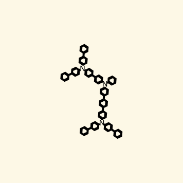 c1ccc(-c2ccc(N(c3ccc(-c4ccccc4)cc3)c3ccc(-c4ccc(-c5ccc(N(c6ccccc6)c6ccc(-c7ccc(N(c8ccc(-c9ccccc9)cc8)c8ccc(-c9ccccc9)cc8)cc7)cc6)cc5)cc4)cc3)cc2)cc1